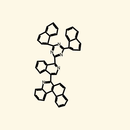 c1ccc2c(-c3nc(-c4cccc5ccccc45)nc(-c4ncc(-c5nc6ccccc6c6c5ccc5ccccc56)c5ccccc45)n3)cccc2c1